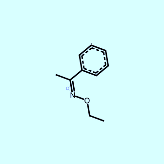 CCO/N=C(/C)c1c[c]ccc1